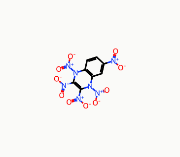 O=[N+]([O-])C1=C([N+](=O)[O-])N([N+](=O)[O-])c2cc([N+](=O)[O-])ccc2N1[N+](=O)[O-]